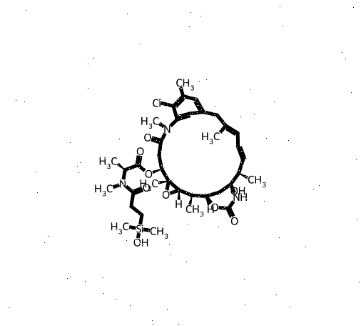 C/C1=C\C=C\[C@@H](C)[C@@]2(O)C[C@H](OC(=O)N2)[C@@H](C)[C@@H]2O[C@]2(C)[C@@H](OC(=O)[C@H](C)N(C)C(=O)CC[Si](C)(C)O)CC(=O)N(C)c2cc(cc(C)c2Cl)C1